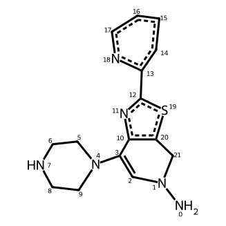 NN1C=C(N2CCNCC2)c2nc(-c3ccccn3)sc2C1